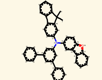 CC1(C)c2ccccc2-c2ccc(N(c3cc(-c4ccccc4)cc(-c4ccccc4)c3)c3ccc4oc5ccccc5c4c3)cc21